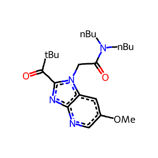 CCCCN(CCCC)C(=O)Cn1c(C(=O)C(C)(C)C)nc2ncc(OC)cc21